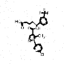 Cc1c(C(=O)N[C@@H](CCCC(=O)O)c2cccc(C(F)(F)F)c2)cnn1-c1ccc(Cl)cc1